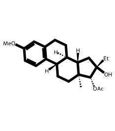 CC[C@]1(O)C[C@H]2[C@@H]3CCc4cc(OC)ccc4[C@H]3CC[C@]2(C)[C@H]1OC(C)=O